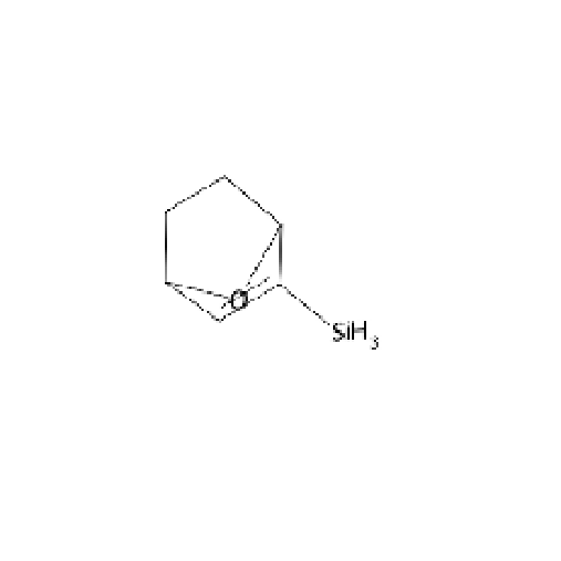 [SiH3]C1=CC2CCC1O2